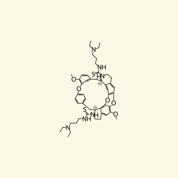 CCN(CC)CCCNC(=S)N1CCc2cc3c4cc2[C@@H]1Cc1ccc(OC)c(c1)Oc1ccc(cc1)C[C@H]1c2c(cc(OC)c(c2O4)O3)CCN1C(=S)NCCCN(CC)CC